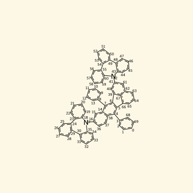 c1ccc(-c2c3c(c(-c4ccccc4)c4cc(N5c6ccccc6-c6ccccc6-c6ccccc65)ccc24)-c2cc(N4c5ccccc5-c5ccccc5-c5ccccc54)cc4cccc-3c24)cc1